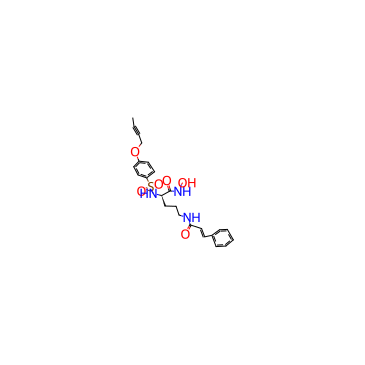 CC#CCOc1ccc(S(=O)(=O)N[C@H](CCCNC(=O)/C=C/c2ccccc2)C(=O)NO)cc1